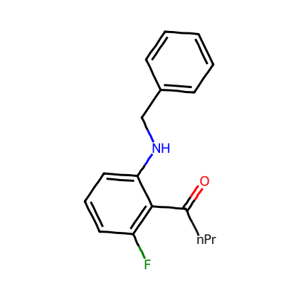 CCCC(=O)c1c(F)cccc1NCc1ccccc1